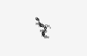 Cc1ccc(C(=O)Nc2ccc3nc(C(C)(C)C)cn3c2)cc1-c1ccc2nc(NCCCN3CCOCC3)ncc2c1